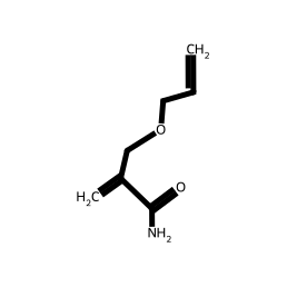 C=CCOCC(=C)C(N)=O